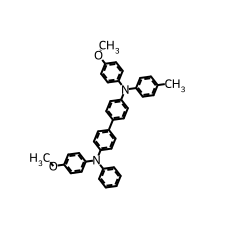 COc1ccc(N(c2ccccc2)c2ccc(-c3ccc(N(c4ccc(C)cc4)c4ccc(OC)cc4)cc3)cc2)cc1